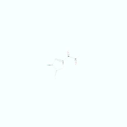 O=C(O)C(=O)c1cc(Br)c(Br)s1